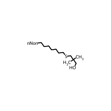 CCCCCCCCCCCCCCCCSCC(C)(C)CO